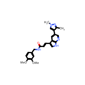 COc1ccc(CNC(=O)/C=C/c2c[nH]c3ncc(-c4cn(C)nc4C)cc23)cc1OC